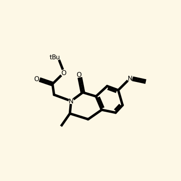 C=Nc1ccc2c(c1)C(=O)N(CC(=O)OC(C)(C)C)C(C)C2